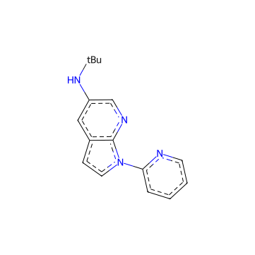 CC(C)(C)Nc1cnc2c(ccn2-c2ccccn2)c1